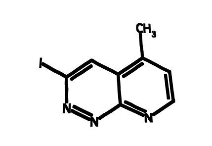 Cc1ccnc2nnc(I)cc12